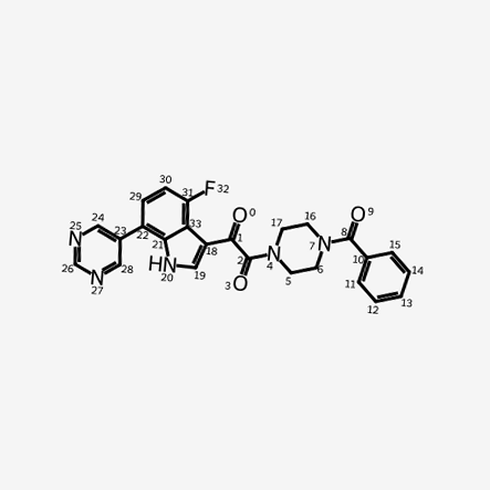 O=C(C(=O)N1CCN(C(=O)c2ccccc2)CC1)c1c[nH]c2c(-c3cncnc3)ccc(F)c12